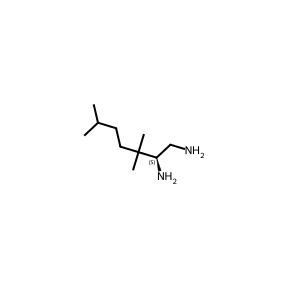 CC(C)CCC(C)(C)[C@H](N)CN